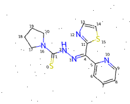 S=C(NN=C(c1ccccn1)c1nccs1)N1CCCC1